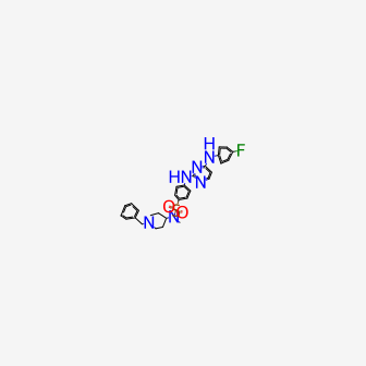 CN(C1CCN(Cc2ccccc2)CC1)S(=O)(=O)c1ccc(Nc2nccc(Nc3ccc(F)cc3)n2)cc1